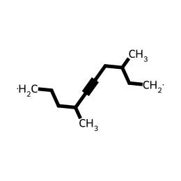 [CH2]CCC(C)C#CCC(C)C[CH2]